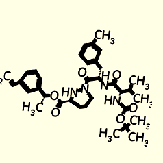 C=Cc1cccc([C@@H](C)OC(=O)[C@@H]2CCCN(C(=O)[C@H](Cc3cccc(C)c3)NC(=O)[C@@H](NC(=O)OC(C)(C)C)C(C)C)N2)c1